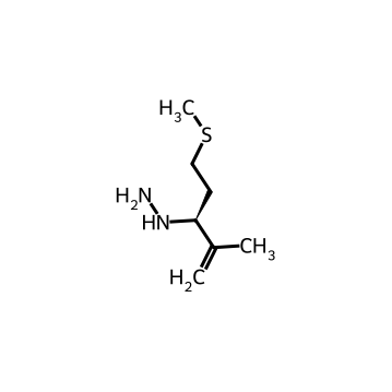 C=C(C)[C@H](CCSC)NN